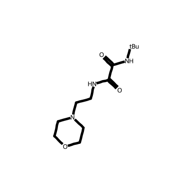 CC(C)(C)NC(=O)C(=O)NCCN1CCOCC1